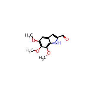 COc1cc2cc([C]=O)[nH]c2c(OC)c1OC